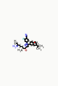 C=C(C)C(/C=c1/cc(-c2cc(C(=O)[C@@H](C)CCC[C@@H](N)CC)nn2-c2ccc(C#N)c(F)c2)ccc1=C)=C/C